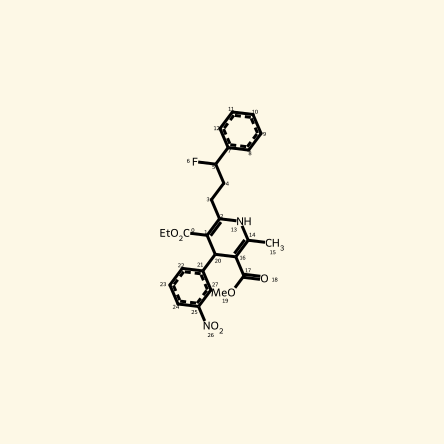 CCOC(=O)C1=C(CCC(F)c2ccccc2)NC(C)=C(C(=O)OC)C1c1cccc([N+](=O)[O-])c1